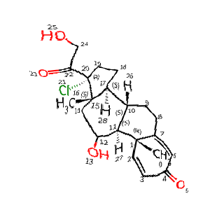 C[C@]12C=CC(=O)C=C1CC[C@@H]1[C@@H]2C(O)C[C@@]2(C)[C@H]1CC[C@]2(Cl)C(=O)CO